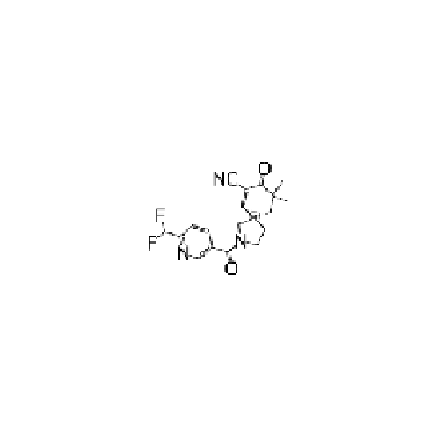 CC1(C)C[C@]2(C=C(C#N)C1=O)CCN(C(=O)c1ccc(C(F)F)nc1)C2